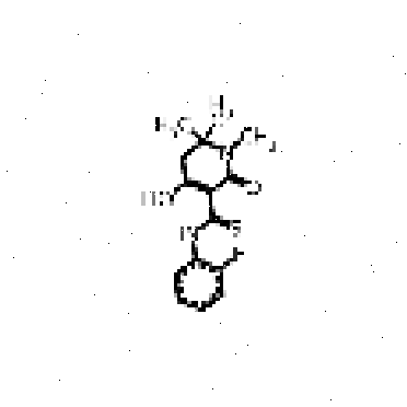 CN1C(=O)C(C(=S)Nc2ccccc2F)=C(O)CC1(C)C